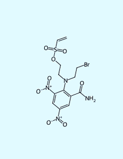 C=CS(=O)(=O)OCCN(CCBr)c1c(C(N)=O)cc([N+](=O)[O-])cc1[N+](=O)[O-]